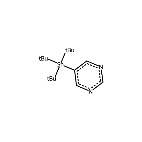 C[C](C)(C)[Sn]([c]1cncnc1)([C](C)(C)C)[C](C)(C)C